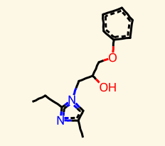 CCc1nc(C)cn1CC(O)COc1ccccc1